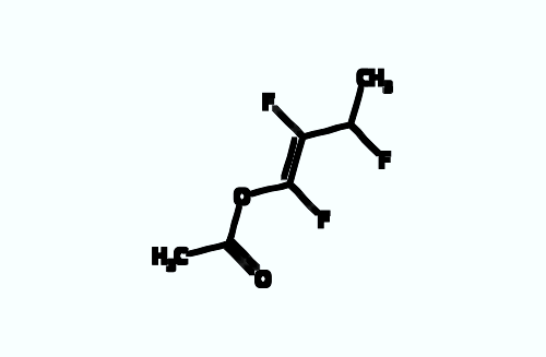 CC(=O)OC(F)=C(F)C(C)F